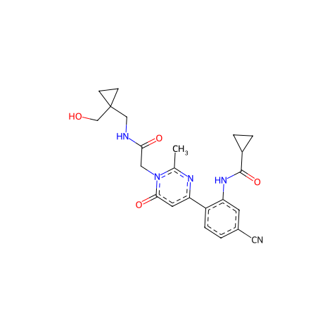 Cc1nc(-c2ccc(C#N)cc2NC(=O)C2CC2)cc(=O)n1CC(=O)NCC1(CO)CC1